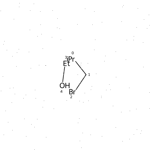 CC(C)CBr.CCO